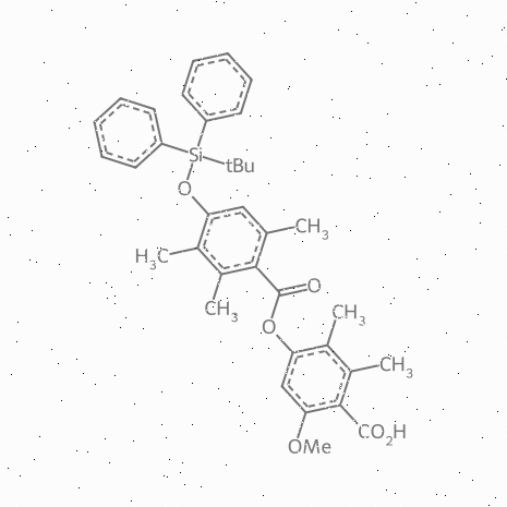 COc1cc(OC(=O)c2c(C)cc(O[Si](c3ccccc3)(c3ccccc3)C(C)(C)C)c(C)c2C)c(C)c(C)c1C(=O)O